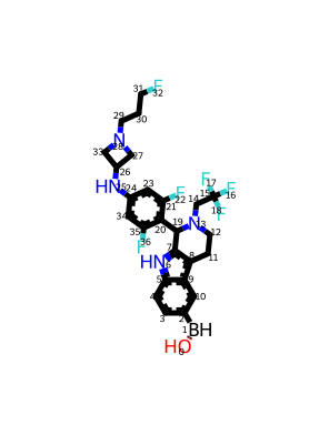 OBc1ccc2[nH]c3c(c2c1)CCN(CC(F)(F)F)C3c1c(F)cc(NC2CN(CCCF)C2)cc1F